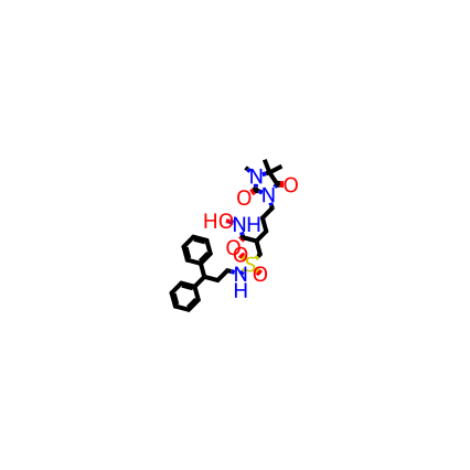 CN1C(=O)N(CCCC(CS(=O)(=O)NCCC(c2ccccc2)c2ccccc2)C(=O)NO)C(=O)C1(C)C